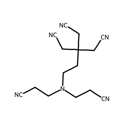 N#CCCN(CCC#N)CCC(CC#N)(CC#N)CC#N